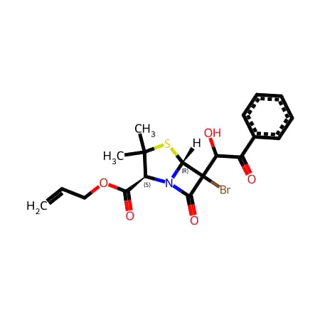 C=CCOC(=O)[C@@H]1N2C(=O)C(Br)(C(O)C(=O)c3ccccc3)[C@H]2SC1(C)C